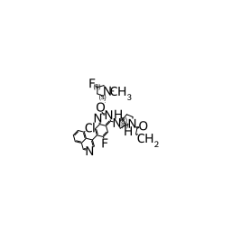 C=CC(=O)N1CC[C@@H]2[C@H]1CN2c1nc(OC[C@@H]2C[C@@H](F)CN2C)nc2cc(-c3cncc4cccc(Cl)c34)c(F)cc12